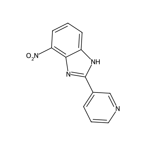 O=[N+]([O-])c1cccc2[nH]c(-c3cccnc3)nc12